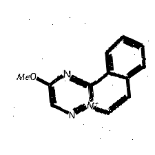 COc1cn[n+]2ccc3ccccc3c2n1